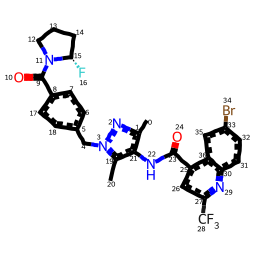 Cc1nn(Cc2ccc(C(=O)N3CCC[C@@H]3F)cc2)c(C)c1NC(=O)c1cc(C(F)(F)F)nc2ccc(Br)cc12